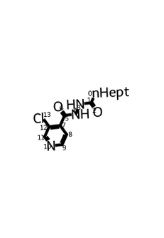 CCCCCCCC(=O)NNC(=O)c1ccncc1Cl